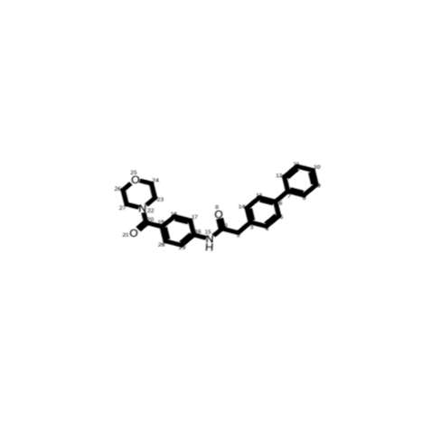 O=C(Cc1ccc(-c2ccccc2)cc1)Nc1ccc(C(=O)N2CCOCC2)cc1